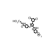 O=C(O)CCNC(=O)c1ccc(Cn2nc(-c3cc(Cl)cc(Cl)c3)cc2-c2nc3ccc(OC(F)(F)F)cc3[nH]2)cc1